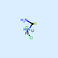 NC(N)=S.[Cl][Fe][Cl].[Li]